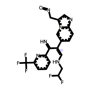 N=C(/C(=C\NCC(F)F)c1ccc2ncc(CN=O)n2c1)c1cccc(C(F)(F)F)n1